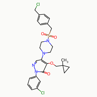 CC1(COc2c(N3CCN(S(=O)(=O)Cc4ccc(CCl)cc4)CC3)cnn(-c3cccc(Cl)c3)c2=O)CC1